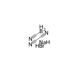 BC#N.Br.N#CC#N.[NaH]